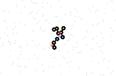 c1ccc(N(c2ccc(-c3ccc4oc5ccccc5c4c3)cc2)c2ccc(-c3cccc4ccccc34)cc2)c(-c2ccc3sc4ccccc4c3c2)c1